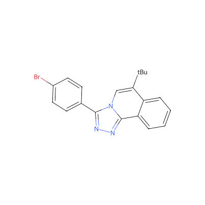 CC(C)(C)c1cn2c(-c3ccc(Br)cc3)nnc2c2ccccc12